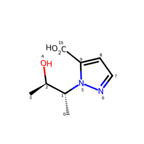 C[C@H]([C@@H](C)O)n1nccc1C(=O)O